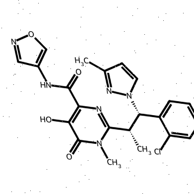 Cc1ccn([C@H](c2ccccc2Cl)[C@H](C)c2nc(C(=O)Nc3cnoc3)c(O)c(=O)n2C)n1